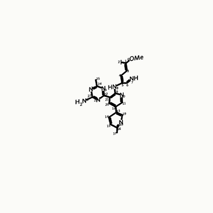 CO/C(I)=C/C=C(\C=N)Nc1ncc(-c2ccc(C)nc2)cc1-c1nc(C)nc(N)n1